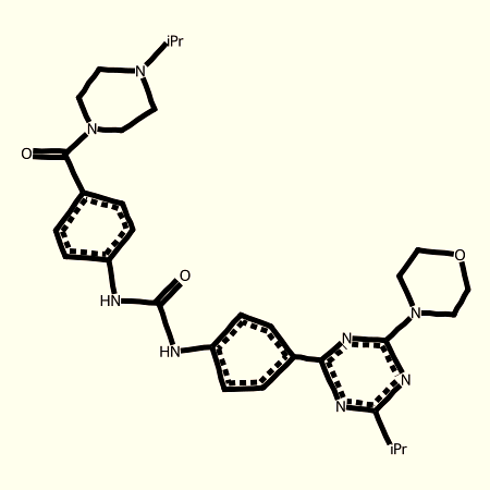 CC(C)c1nc(-c2ccc(NC(=O)Nc3ccc(C(=O)N4CCN(C(C)C)CC4)cc3)cc2)nc(N2CCOCC2)n1